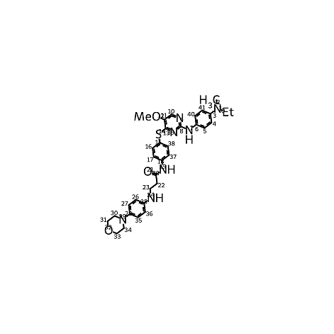 CCN(C)c1ccc(Nc2ncc(OC)c(Sc3ccc(NC(=O)CCNc4ccc(N5CCOCC5)cc4)cc3)n2)cc1